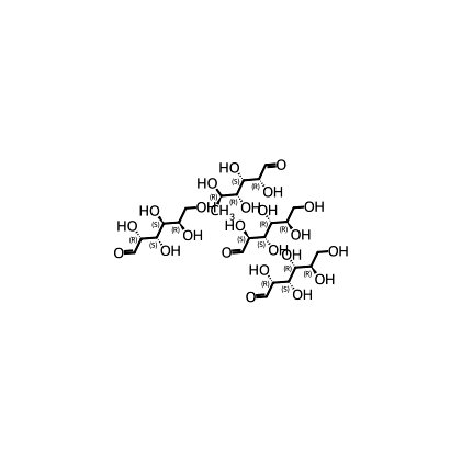 C[C@@H](O)[C@@H](O)[C@H](O)[C@@H](O)C=O.O=C[C@@H](O)[C@@H](O)[C@H](O)[C@H](O)CO.O=C[C@H](O)[C@@H](O)[C@@H](O)[C@H](O)CO.O=C[C@H](O)[C@@H](O)[C@H](O)[C@H](O)CO